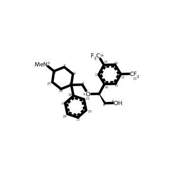 CNC1CCC(CO[C@H](CO)c2cc(C(F)(F)F)cc(C(F)(F)F)c2)(c2ccccc2)CC1